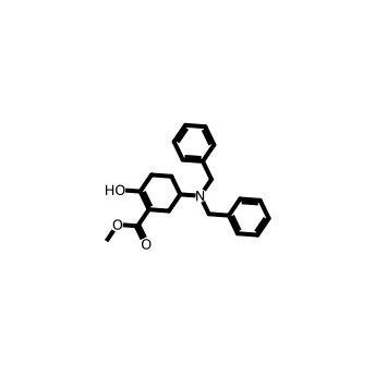 COC(=O)C1=C(O)CCC(N(Cc2ccccc2)Cc2ccccc2)C1